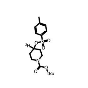 [2H]C1(OS(=O)(=O)c2ccc(C)cc2)CCN(C(=O)OC(C)(C)C)CC1